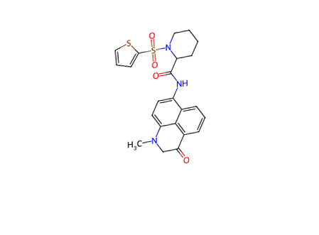 CN1CC(=O)c2cccc3c(NC(=O)C4CCCCN4S(=O)(=O)c4cccs4)ccc1c23